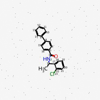 CC(NC(=O)c1ccc(-c2ccccc2)cc1)c1ccccc1Cl